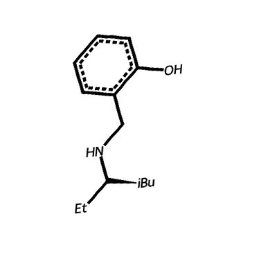 CCC(NCc1ccccc1O)[C@H](C)CC